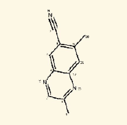 Cc1cnc2cc(C#N)c(C)cc2n1